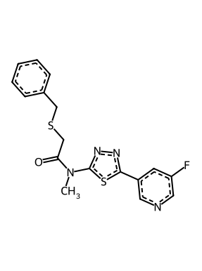 CN(C(=O)CSCc1ccccc1)c1nnc(-c2cncc(F)c2)s1